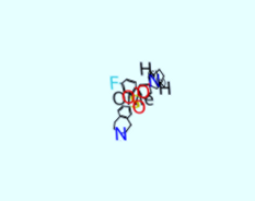 COc1cc2c(cc1S(=O)(=O)c1ccc(N3[C@@H]4CC[C@H]3CC(Oc3ccc(F)cc3)C4)cc1)CCN(C)CC2